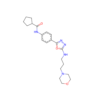 O=C(Nc1ccc(-c2nnc(NCCCN3CCOCC3)o2)cc1)C1CCCC1